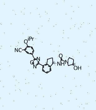 CC(C)Oc1ccc(-c2nc(-c3cccc4c3CC[C@@H]4NC(=O)N3CC[C@@H](O)C3)no2)cc1C#N